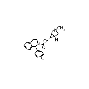 CN1CC2[C@@H](COC(=O)N3CCc4ccccc4[C@@H]3c3ccc(F)cc3)[C@@H]2C1